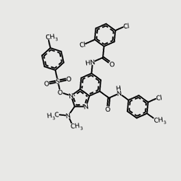 Cc1ccc(S(=O)(=O)On2c(N(C)C)nc3c(C(=O)Nc4ccc(C)c(Cl)c4)cc(NC(=O)c4cc(Cl)ccc4Cl)cc32)cc1